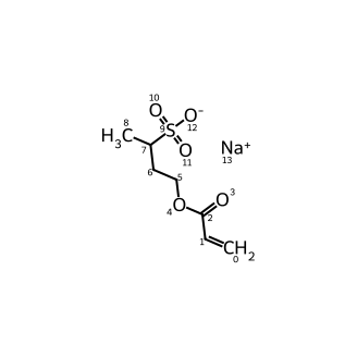 C=CC(=O)OCCC(C)S(=O)(=O)[O-].[Na+]